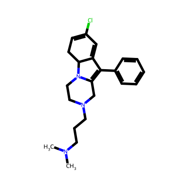 CN(C)CCCN1CCN2C(=C(c3ccccc3)C3=CC(Cl)=CCC32)C1